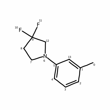 Cc1cccc(N2CCC(F)(F)C2)c1